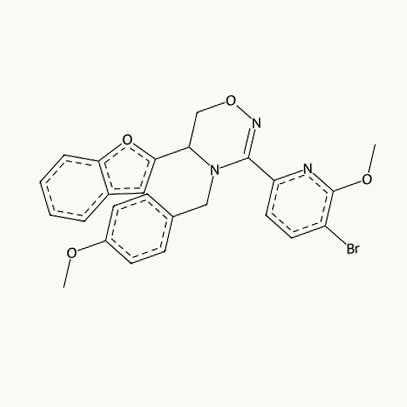 COc1ccc(CN2C(c3ccc(Br)c(OC)n3)=NOCC2c2cc3ccccc3o2)cc1